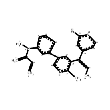 C=CC(=C)N(C)c1cccc(-c2cnc(C)c(/C(=C\C)c3ccnc(CC)c3)c2)c1